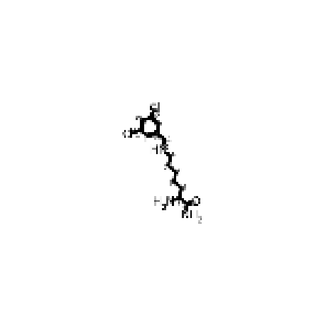 NC(=O)C(N)CCCCCNCc1cc(Cl)cc(Cl)c1